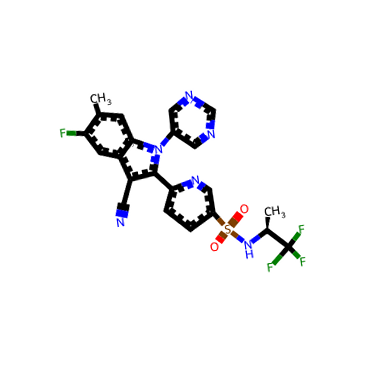 Cc1cc2c(cc1F)c(C#N)c(-c1ccc(S(=O)(=O)N[C@@H](C)C(F)(F)F)cn1)n2-c1cncnc1